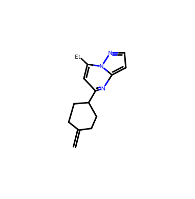 C=C1CCC(c2cc(CC)n3nccc3n2)CC1